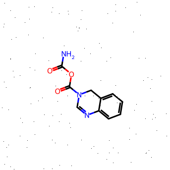 NC(=O)OC(=O)N1C=Nc2ccccc2C1